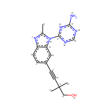 Cc1nc2ccc(C#CC(C)(C)CO)cc2n1-c1ncnc(N)n1